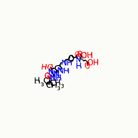 CC(C)(C)C(=O)Nc1nc(O)c2c(n1)NCC(CNCc1ccc(C(=O)N[C@@H](CCC(=O)O)C(=O)O)cc1)C2